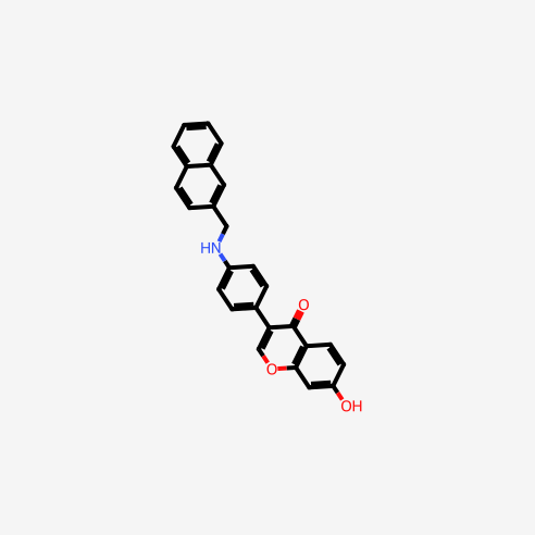 O=c1c(-c2ccc(NCc3ccc4ccccc4c3)cc2)coc2cc(O)ccc12